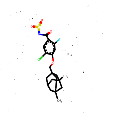 C.CC12CC3CC(C)(C1)CC(COc1cc(F)c(C(=O)N=S(=O)=O)cc1Cl)(C3)C2